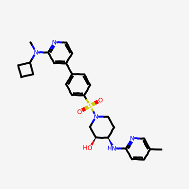 Cc1ccc(N[C@@H]2CCN(S(=O)(=O)c3ccc(-c4ccnc(N(C)C5CCC5)c4)cc3)C[C@@H]2O)nc1